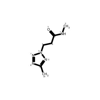 CNC(=O)CCn1nnc(C)n1